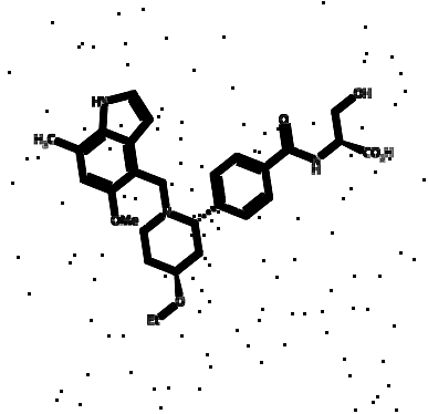 CCO[C@H]1CCN(Cc2c(OC)cc(C)c3[nH]ccc23)[C@H](c2ccc(C(=O)N[C@@H](CO)C(=O)O)cc2)C1